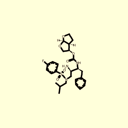 CC(C)CN(C[C@@H](N)[C@H](Cc1ccccc1)NC(=O)O[C@H]1CO[C@H]2OCC[C@H]21)S(=O)(=O)c1ccc(F)cc1